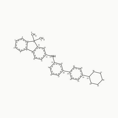 CC1(C)c2ccccc2-c2ccc(Nc3cccc(-c4ccc(C5CCCCC5)cc4)c3)cc21